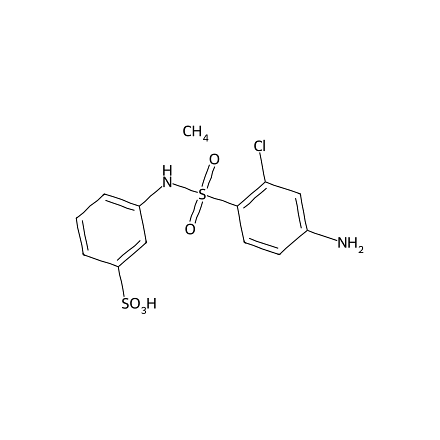 C.Nc1ccc(S(=O)(=O)Nc2cccc(S(=O)(=O)O)c2)c(Cl)c1